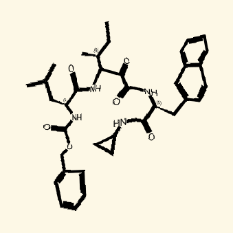 CC[C@H](C)C(NC(=O)[C@H](CC(C)C)NC(=O)OCc1ccccc1)C(=O)C(=O)N[C@@H](Cc1ccc2ccccc2c1)C(=O)NC1CC1